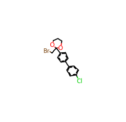 Clc1ccc(-c2ccc(C3(CBr)OCCCO3)cc2)cc1